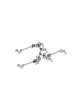 CCCCCCCCCCSSSCC(CC)OC(=O)CCN(C)CCCN(CCC(=O)OC(CC)CSSSCCCCCCCCCC)CCC(=O)OC(CC)CSSSCCCCCCCCCC